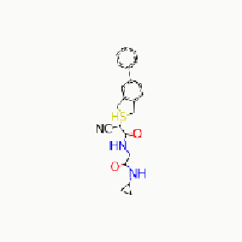 N#CC(C(=O)NCC(=O)NC1CC1)[SH]1Cc2ccc(-c3ccccc3)cc2C1